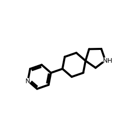 c1cc(C2CCC3(CCNC3)CC2)ccn1